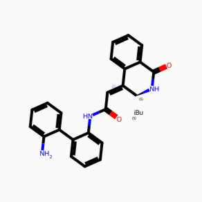 CC[C@H](C)[C@@H]1NC(=O)c2ccccc2/C1=C/C(=O)Nc1ccccc1-c1ccccc1N